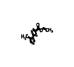 CCOC(=O)c1cnc(-n2cncc2C)s1